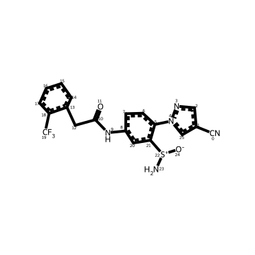 N#Cc1cnn(-c2ccc(NC(=O)Cc3ccccc3C(F)(F)F)cc2[S+](N)[O-])c1